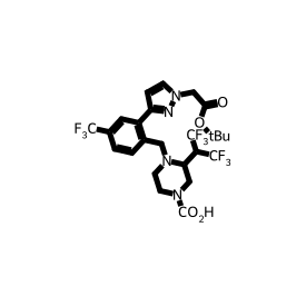 CC(C)(C)OC(=O)Cn1ccc(-c2cc(C(F)(F)F)ccc2CN2CCN(C(=O)O)CC2C(C(F)(F)F)C(F)(F)F)n1